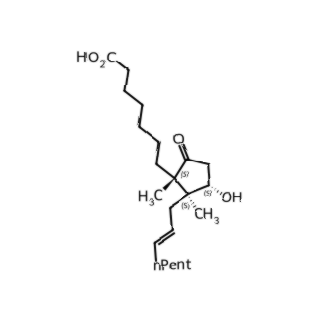 CCCCCC=CC[C@]1(C)[C@@H](O)CC(=O)[C@@]1(C)CCCCCCC(=O)O